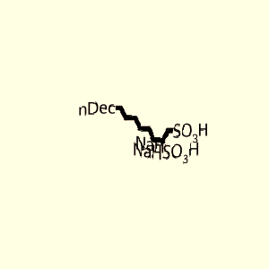 CCCCCCCCCCCCCCCCC(CS(=O)(=O)O)S(=O)(=O)O.[NaH].[NaH]